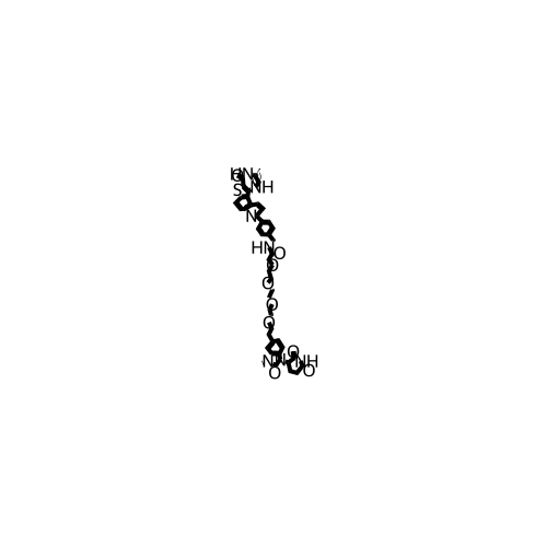 C[C@@H]1CNc2c(sc3ccc4nc(-c5ccc(CNC(=O)COCCOCCOCCOCCc6ccc7c(c6)n(C)c(=O)n7C6CCC(=O)NC6=O)cc5)ccc4c23)C(=O)N1